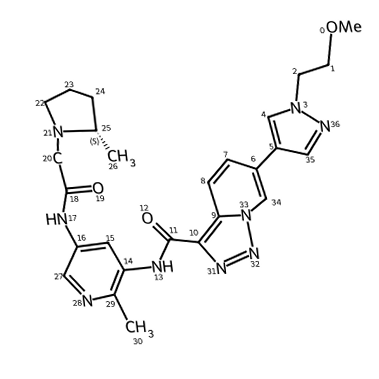 COCCn1cc(-c2ccc3c(C(=O)Nc4cc(NC(=O)CN5CCC[C@@H]5C)cnc4C)nnn3c2)cn1